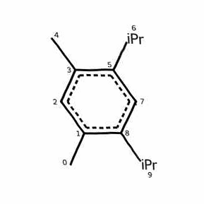 Cc1cc(C)c(C(C)C)[c]c1C(C)C